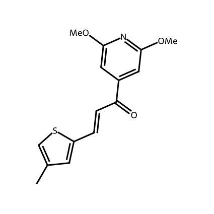 COc1cc(C(=O)/C=C/c2cc(C)cs2)cc(OC)n1